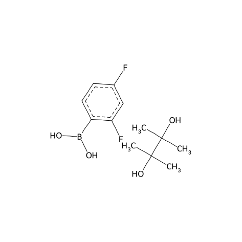 CC(C)(O)C(C)(C)O.OB(O)c1ccc(F)cc1F